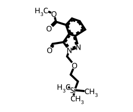 COC(=O)c1cccc2nn(COCC[Si](C)(C)C)c(C=O)c12